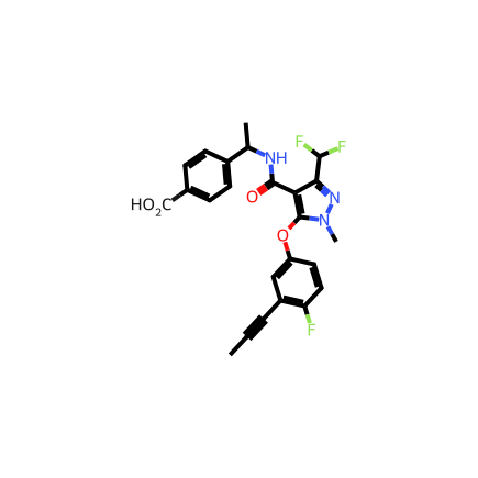 CC#Cc1cc(Oc2c(C(=O)NC(C)c3ccc(C(=O)O)cc3)c(C(F)F)nn2C)ccc1F